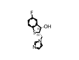 O[C@H]1c2cc(F)ccc2S[C@H]1Cn1ccnc1